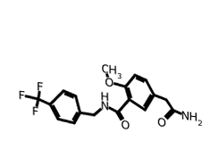 COc1ccc(CC(N)=O)cc1C(=O)NCc1ccc(C(F)(F)F)cc1